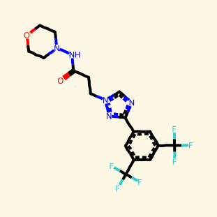 O=C(CCn1cnc(-c2cc(C(F)(F)F)cc(C(F)(F)F)c2)n1)NN1CCOCC1